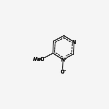 COc1ccnc[n+]1[O-]